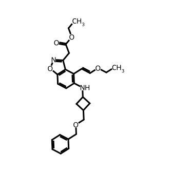 CCO/C=C/c1c(NC2CC(COCc3ccccc3)C2)ccc2onc(CC(=O)OCC)c12